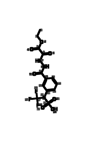 CCOC(=O)C(=O)NNC(=O)c1cccc(N(C(F)(F)F)S(=O)(=O)O)c1